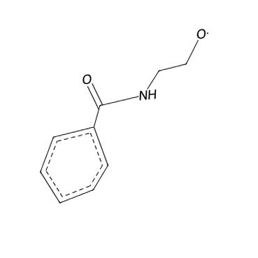 [O]CCNC(=O)c1ccccc1